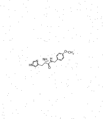 COc1ccc(CNC(=O)[C@@H](N)Cc2c[nH]cn2)cc1